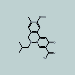 COc1cc2c(cc1C)CN(CC(C)C)n1cc(C(=O)O)c(=O)cc1-2